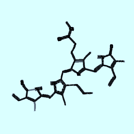 C=CC1=C(C)/C(=C/c2[nH]c(/C=C3N=C(/C=C4\NC(=O)C(C)=C4C=C)C(C)=C\3CCC(=O)OC)c(CCC)c2C)NC1=O